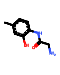 Cc1ccc(NC(=O)CN)c(O)c1